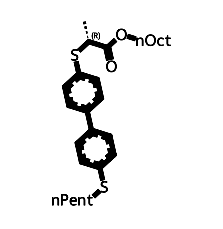 CCCCCCCCOC(=O)[C@@H](C)Sc1ccc(-c2ccc(SCCCCC)cc2)cc1